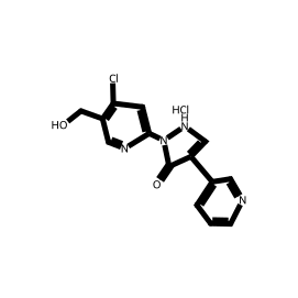 Cl.O=c1c(-c2cccnc2)c[nH]n1-c1cc(Cl)c(CO)cn1